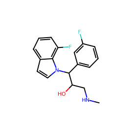 CNCC(O)C(c1cccc(F)c1)n1ccc2cccc(F)c21